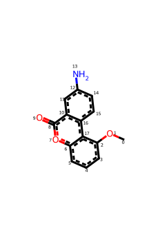 COc1cccc2oc(=O)c3cc(N)ccc3c12